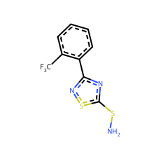 NSc1nc(-c2ccccc2C(F)(F)F)ns1